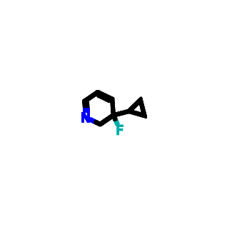 FC1(C2CC2)C=CC=NC1